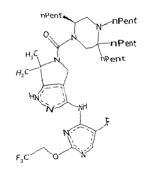 CCCCC[C@H]1CN(CCCCC)C(CCCCC)(CCCCC)CN1C(=O)N1Cc2c(Nc3nc(OCC(F)(F)F)ncc3F)n[nH]c2C1(C)C